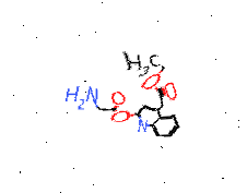 CCOC(=O)c1cc(OC(=O)CN)nc2ccccc12